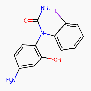 NC(=O)N(c1ccc(N)cc1O)c1ccccc1I